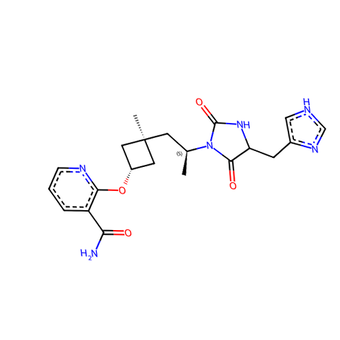 C[C@@H](C[C@]1(C)C[C@@H](Oc2ncccc2C(N)=O)C1)N1C(=O)NC(Cc2c[nH]cn2)C1=O